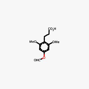 COc1cc(OC=O)cc(OC)c1CCC(=O)O